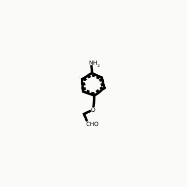 Nc1ccc(OCC=O)cc1